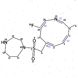 CC1/C=C\C=C(\CS(=O)(=O)N2CCCNCC2)C/C(F)=C\N=C/1